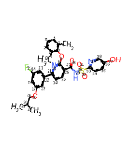 Cc1cccc(C)c1Oc1nc(-c2cc(F)cc(OCC(C)C)c2)ccc1C(=O)NS(=O)(=O)c1ccc(O)cn1